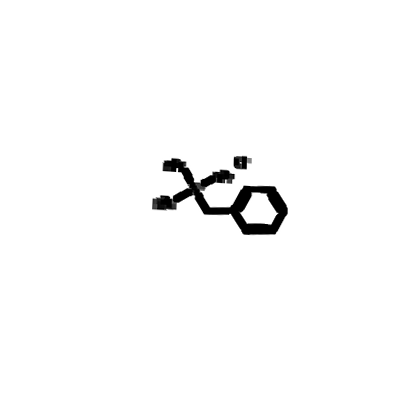 CCCC[N+](CCC)(CCC)Cc1ccccc1.[Cl-]